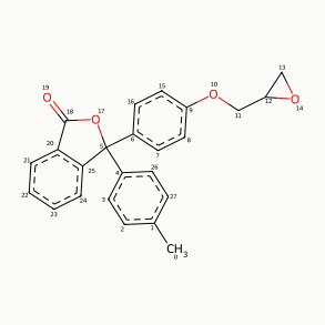 Cc1ccc(C2(c3ccc(OCC4CO4)cc3)OC(=O)c3ccccc32)cc1